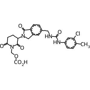 Cc1ccc(NC(=O)NCc2ccc3c(c2)CN(C2CCC(=O)N(COC(=O)O)C2=O)C3=O)cc1Cl